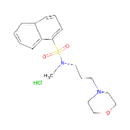 CN(CCCN1CCOCC1)S(=O)(=O)c1cccc2ccccc12.Cl